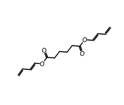 C=CC=COC(=O)CCCCC(=O)OC=CC=C